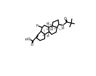 CC(C)(C)C(=O)NC1CC[C@H]2[C@@H]3CC(F)C4C=C(C(=O)O)CC[C@]4(C)[C@@H]3CC[C@]12C